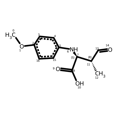 COc1ccc(N[C@H](C(=O)O)[C@@H](C)C=O)cc1